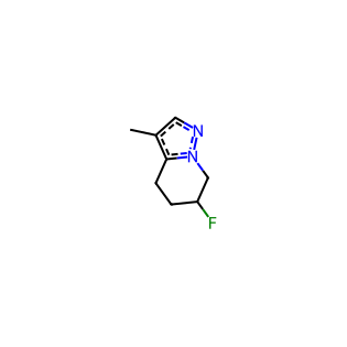 Cc1cnn2c1CCC(F)C2